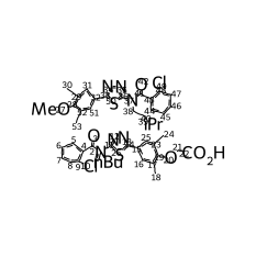 CCCCN(C(=O)c1ccccc1Cl)c1nnc(-c2cc(C)c(OCC(=O)O)c(C)c2)s1.COc1c(C)cc(-c2nnc(N(CCC(C)C)C(=O)c3ccccc3Cl)s2)cc1C